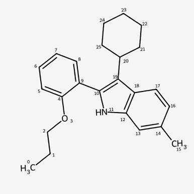 CCCOc1ccccc1-c1[nH]c2cc(C)ccc2c1C1CCCCC1